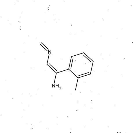 C=N/C=C(/N)c1ccccc1C